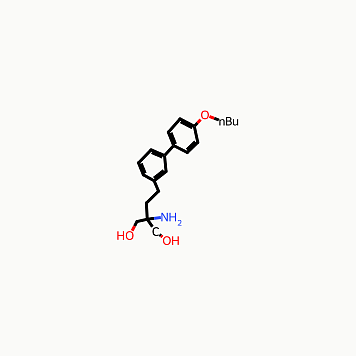 CCCCOc1ccc(-c2cccc(CCC(N)(CO)CO)c2)cc1